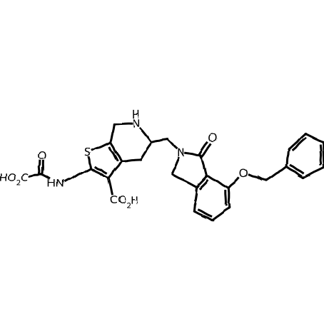 O=C(O)C(=O)Nc1sc2c(c1C(=O)O)CC(CN1Cc3cccc(OCc4ccccc4)c3C1=O)NC2